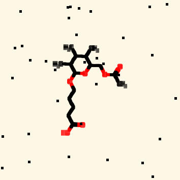 CC(=O)OCC1OC(OCCCCC(=O)O)C(C)C(C)C1C